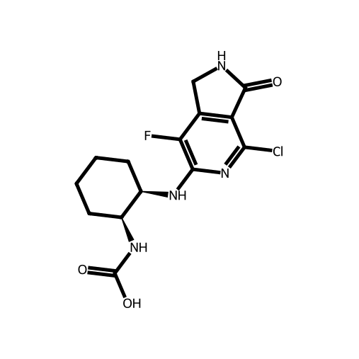 O=C(O)N[C@H]1CCCC[C@H]1Nc1nc(Cl)c2c(c1F)CNC2=O